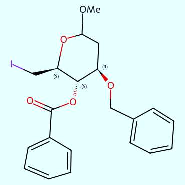 COC1C[C@@H](OCc2ccccc2)[C@H](OC(=O)c2ccccc2)[C@@H](CI)O1